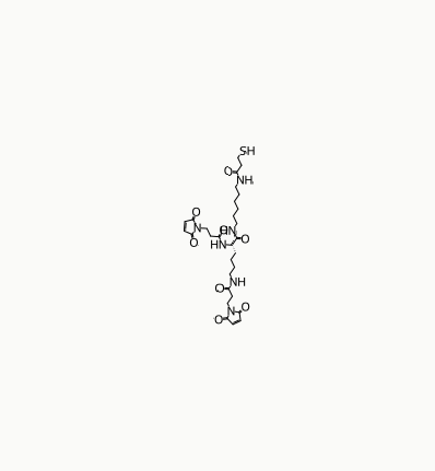 O=C(CCS)NCCCCCCNC(=O)[C@H](CCCCNC(=O)CCN1C(=O)C=CC1=O)NC(=O)CCN1C(=O)C=CC1=O